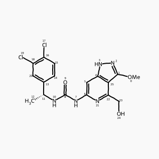 COc1n[nH]c2cc(NC(=O)N[C@H](C)c3ccc(Cl)c(Cl)c3)nc(CO)c12